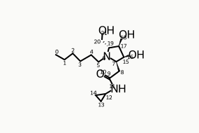 CCCCCCN1[C@H](CC(=O)NC2CC2)[C@H](O)[C@H](O)[C@H]1CO